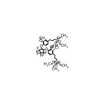 CCO[Si](CCCc1ccc(OC2=C(Oc3ccc(CCC[Si](OCC)(OCC)OCC)cc3OC)C(F)(F)C(F)(F)C2(F)F)c(OC)c1)(OCC)OCC